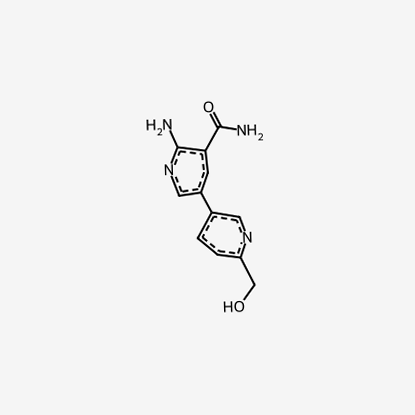 NC(=O)c1cc(-c2ccc(CO)nc2)cnc1N